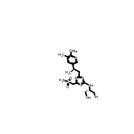 COc1ncc([C@H](C)Cc2nc(CS(N)(=O)=O)nc(N[C@@H](CO)CC(C)C)n2)cc1C